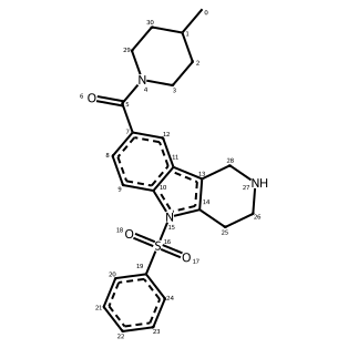 CC1CCN(C(=O)c2ccc3c(c2)c2c(n3S(=O)(=O)c3ccccc3)CCNC2)CC1